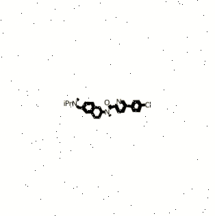 CC(C)N(C)Cc1ccc2c(c1)CCC(N(C)C(=O)c1ccc(-c3ccc(Cl)cc3)cn1)C2